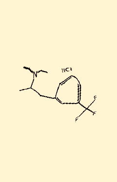 CC(Cc1cccc(C(F)(F)F)c1)N(C)C.Cl